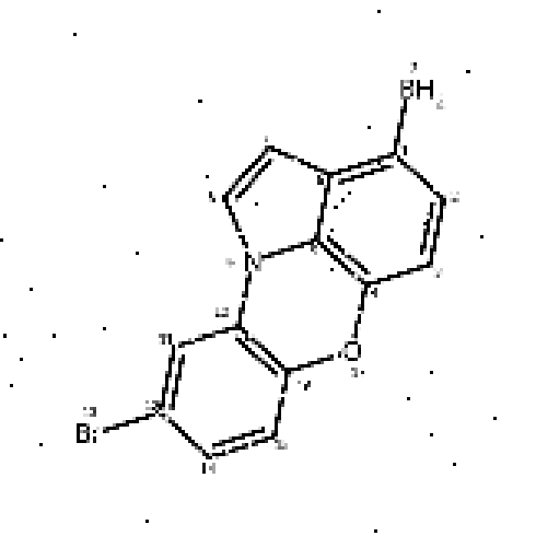 Bc1ccc2c3c1ccn3-c1cc(Br)ccc1O2